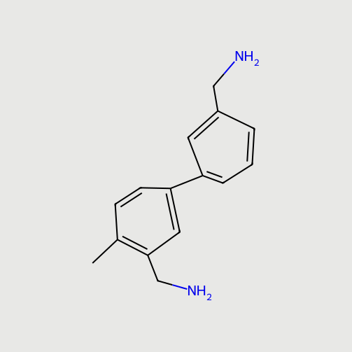 Cc1ccc(-c2cccc(CN)c2)cc1CN